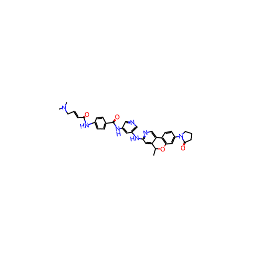 CC1Oc2cc(N3CCCC3=O)ccc2-c2cnc(Nc3cncc(NC(=O)c4ccc(NC(=O)C=CCN(C)C)cc4)c3)cc21